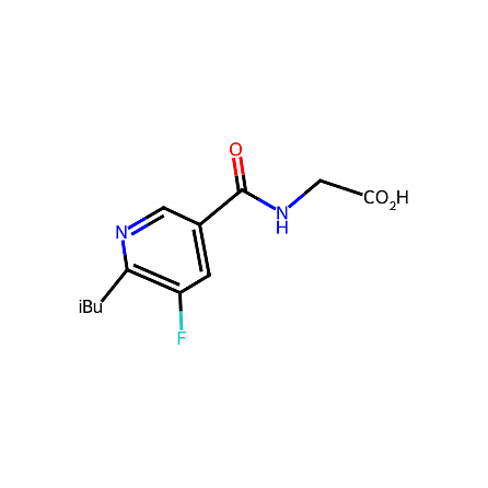 CCC(C)c1ncc(C(=O)NCC(=O)O)cc1F